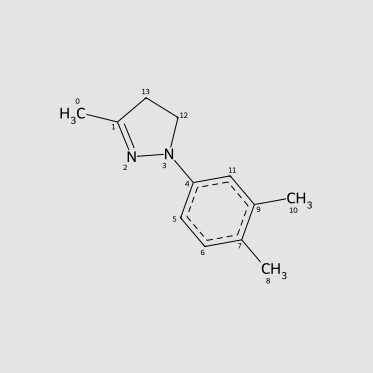 CC1=NN(c2ccc(C)c(C)c2)CC1